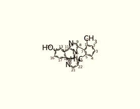 Cc1cccc(C)c1-c1cnc2c3cc(O)ccc3c3ncccc3n12